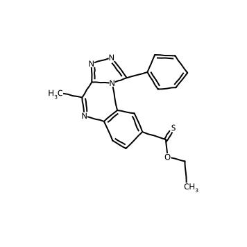 CCOC(=S)c1ccc2nc(C)c3nnc(-c4ccccc4)n3c2c1